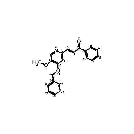 COc1cnc(C=CC(=O)c2ccccc2)cc1OCc1ccccc1